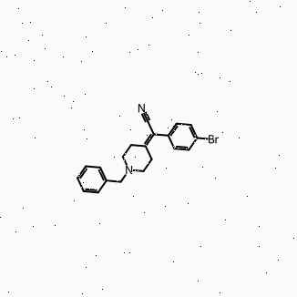 N#CC(=C1CCN(Cc2ccccc2)CC1)c1ccc(Br)cc1